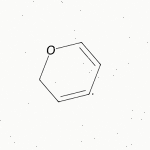 [C]1=CCOC=C1